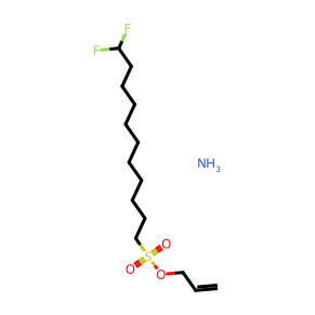 C=CCOS(=O)(=O)CCCCCCCCCCC(F)F.N